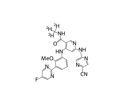 [2H]C([2H])([2H])NC(=O)c1cnc(Nc2cnc(C#N)cn2)cc1Nc1cccc(-c2ncc(F)cn2)c1OC